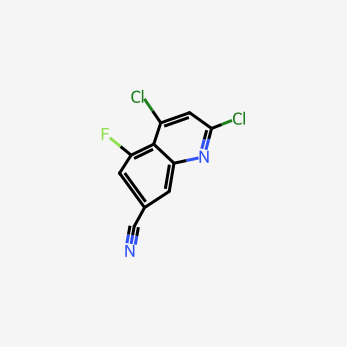 N#Cc1cc(F)c2c(Cl)cc(Cl)nc2c1